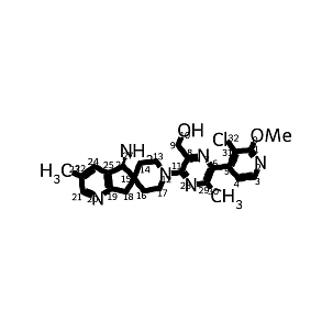 COc1nccc(-c2nc(CO)c(N3CCC4(CC3)Cc3ncc(C)cc3[C@H]4N)nc2C)c1Cl